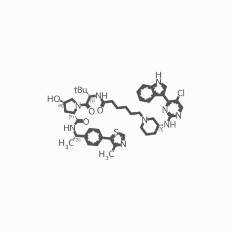 Cc1ncsc1-c1ccc([C@H](C)NC(=O)[C@@H]2C[C@@H](O)CN2C(=O)[C@@H](NC(=O)CCCCCN2CCC[C@@H](Nc3ncc(Cl)c(-c4c[nH]c5ccccc45)n3)C2)C(C)(C)C)cc1